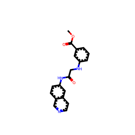 COC(=O)c1cccc(NCC(=O)Nc2ccc3cnccc3c2)c1